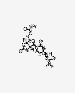 CC(C)C(=O)OC[C@H]1O[C@@H](n2ccc(NOC(=O)N(C)C)nc2=O)[C@@H]2OC(=O)O[C@@H]21